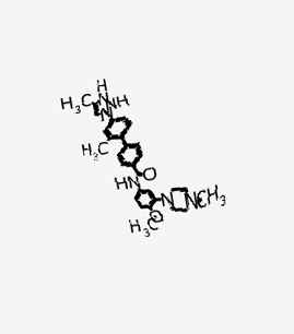 COc1ccc(NC(=O)c2ccc(-c3ccc(N4C=C(C)NN4)cc3C)cc2)cc1N1CCN(C)CC1